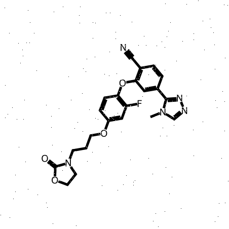 Cn1cnnc1-c1ccc(C#N)c(Oc2ccc(OCCCN3CCOC3=O)cc2F)c1